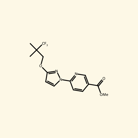 COC(=O)c1ccc(-n2ccc(OCC(C)(C)C(F)(F)F)n2)nc1